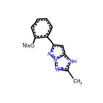 COc1ccccc1-c1cc2[nH]c(C)nn2n1